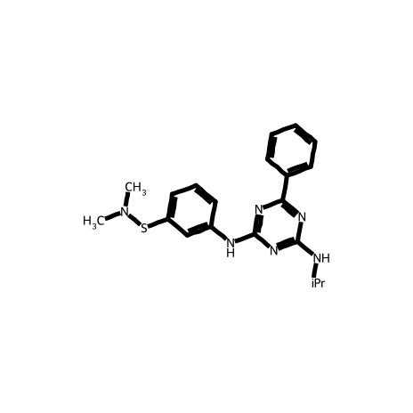 CC(C)Nc1nc(Nc2cccc(SN(C)C)c2)nc(-c2ccccc2)n1